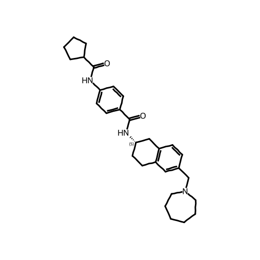 O=C(N[C@H]1CCc2cc(CN3CCCCCC3)ccc2C1)c1ccc(NC(=O)C2CCCC2)cc1